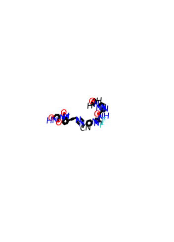 Cn1c(=O)n(C2CCC(=O)NC2=O)c2cccc(C#CCN3CCN(C(C#N)[C@H]4CC[C@H](n5cc(NC(=O)c6cnn7ccc(N8C[C@H]9C[C@@H]8CO9)nc67)c(C(F)F)n5)CC4)CC3)c21